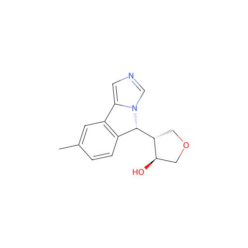 Cc1ccc2c(c1)-c1cncn1[C@@H]2[C@@H]1COC[C@H]1O